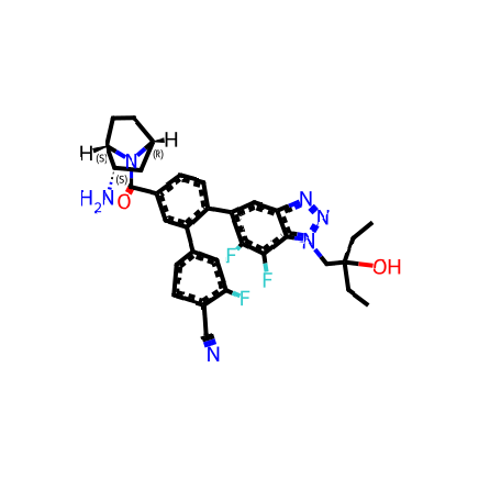 CCC(O)(CC)Cn1nnc2cc(-c3ccc(C(=O)N4[C@@H]5CC[C@H]4[C@@H](N)C5)cc3-c3ccc(C#N)c(F)c3)c(F)c(F)c21